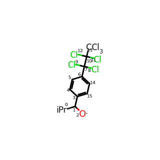 CC(C)C([O])c1ccc(C(Cl)(Cl)C(Cl)(Cl)C(Cl)(Cl)Cl)cc1